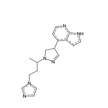 CC(CCn1ccnc1)N1CC(c2ccnc3[nH]ccc23)C=N1